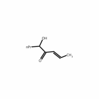 [CH2]CCC(O)C(=O)C=CC